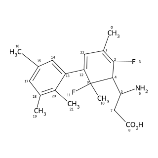 CC1=C(F)C(C(N)CC(=O)O)C(C)(F)C(c2cc(C)cc(C)c2C)=C1